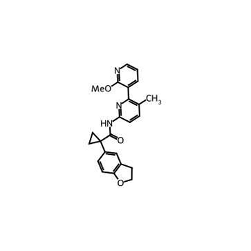 COc1ncccc1-c1nc(NC(=O)C2(c3ccc4c(c3)CCO4)CC2)ccc1C